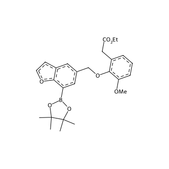 CCOC(=O)Cc1cccc(OC)c1OCc1cc(B2OC(C)(C)C(C)(C)O2)c2occc2c1